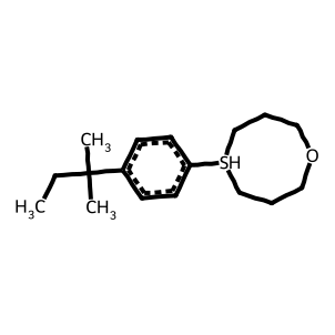 CCC(C)(C)c1ccc([SH]2CCCOCCC2)cc1